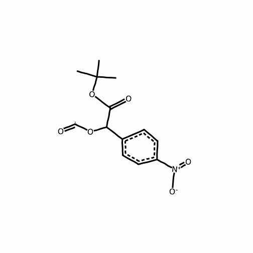 CC(C)(C)OC(=O)C(O[C]=O)c1ccc([N+](=O)[O-])cc1